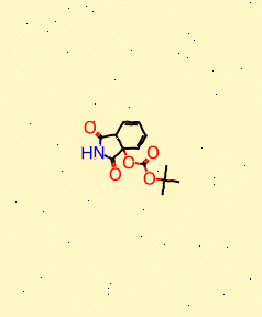 CC(C)(C)OC(=O)OC12C=CC=CC1C(=O)NC2=O